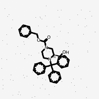 O=C(OCc1ccccc1)N1CCN(C(c2ccccc2)(c2ccccc2)c2ccccc2)[C@H](CO)C1